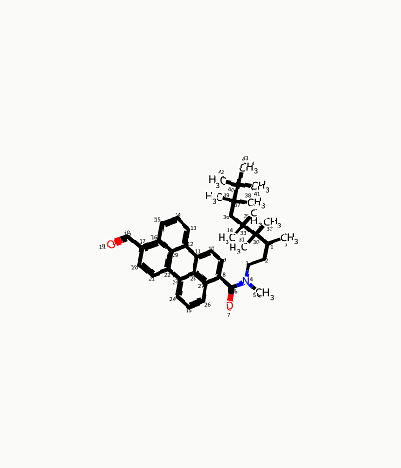 CC(CCN(C)C(=O)c1ccc2c3cccc4c(C=O)ccc(c5cccc1c52)c43)C(C)(C)C(C)(C)CC(C)(C)C(C)(C)C